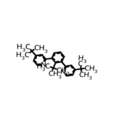 CC(C)(C)c1ccnc(-c2cccc(-c3cc(C(C)(C)C)ccn3)c2C(C)(C)C)c1